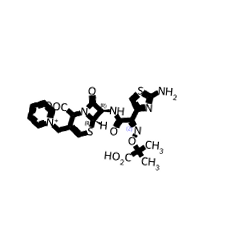 CC(C)(O/N=C(\C(=O)N[C@@H]1C(=O)N2C(C(=O)[O-])C(C[n+]3ccccc3)=CS[C@H]12)c1csc(N)n1)C(=O)O